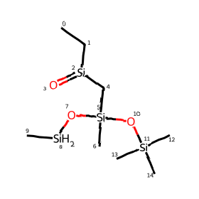 CC[Si](=O)C[Si](C)(O[SiH2]C)O[Si](C)(C)C